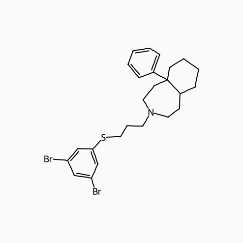 Brc1cc(Br)cc(SCCCN2CCC3CCCCC3(c3ccccc3)CC2)c1